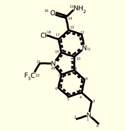 CN(C)Cc1ccc2c(c1)c1ncc(C(N)=O)c(Cl)c1n2CC(F)(F)F